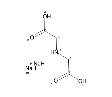 O=C(O)CNCC(=O)O.[NaH].[NaH]